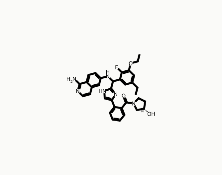 CCOc1cc(CC)cc(C(Nc2ccc3c(N)nccc3c2)c2nc(-c3ccccc3C(=O)N3CC[C@H](O)C3)c[nH]2)c1F